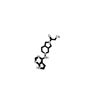 N#CCC(=O)N1CC2CCN(Nc3ncnc4[nH]ccc34)CC2C1